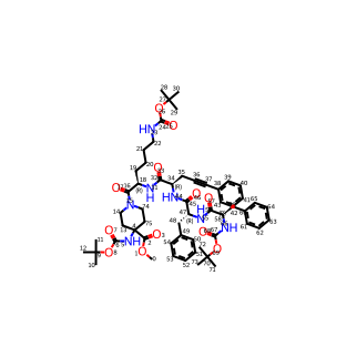 COC(=O)C1(NC(=O)OC(C)(C)C)CCN(C(=O)[C@@H](CCCCNC(=O)OC(C)(C)C)NC(=O)[C@@H](CC#Cc2ccccc2)NC(=O)[C@@H](Cc2ccccc2)NC(=O)[C@@H](Cc2ccccc2)NC(=O)OC(C)(C)C)CC1